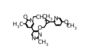 CCn1cc(-c2cnc(C)nc2OCC2C(C)C2c2ccc(OC)cn2)cc(C)c1=O